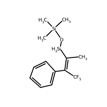 CC([SiH2]O[Si](C)(C)C)=C(c1ccccc1)C(F)(F)F